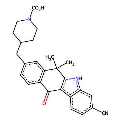 CC1(C)c2cc(CC3CCN(C(=O)O)CC3)ccc2C(=O)c2c1[nH]c1cc(C#N)ccc21